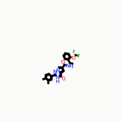 Cc1ccc(-c2nn3cc(C(=O)NC(C)c4ccccc4OC(F)F)cc3c(=O)[nH]2)cc1C